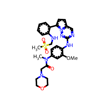 COc1cc(N(C)C(=O)CN2CCOCC2)ccc1Nc1ncc2ccc(-c3ccccc3NCS(C)(=O)=O)n2n1